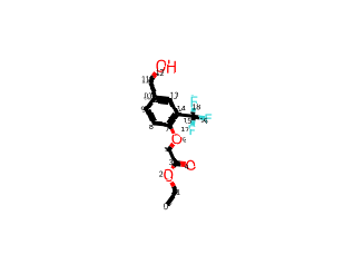 CCOC(=O)COc1ccc(CO)cc1C(F)(F)F